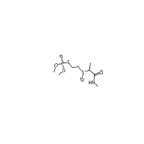 CNC(=O)C(C)[S+]([O-])CCSP(=O)(OC)OC